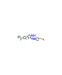 C=CCCc1ccc(CN/C=C2\C(=N)C=CC(c3ccc(C(F)C(C)C)cc3C)=C2C)cc1